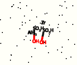 O=S(=O)(O)O.O=S(=O)(O)O.[AlH3].[Zr]